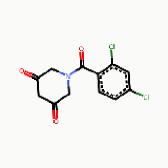 O=C1CC(=O)CN(C(=O)c2ccc(Cl)cc2Cl)C1